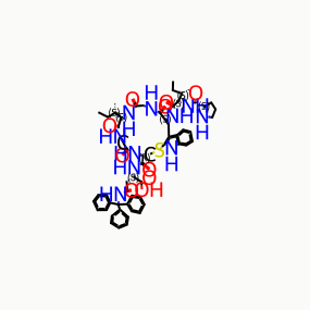 CC[C@H](C)[C@@H]1NC(=O)CNC(=O)[C@@H](NC(=O)[C@@H](NC(=O)[C@@H]2CCCN2)[C@@H](C)CC)Cc2c([nH]c3ccccc23)SC[C@@H](C(=O)N[C@@H](CC(=O)NC(c2ccccc2)(c2ccccc2)c2ccccc2)C(=O)O)NC(=O)CNC1=O